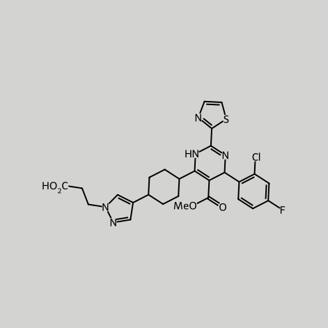 COC(=O)C1=C(C2CCC(c3cnn(CCC(=O)O)c3)CC2)NC(c2nccs2)=NC1c1ccc(F)cc1Cl